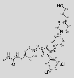 CNC(=O)NCC1CCN(Cc2cc(Oc3cnc(N4CCN(CCCO)CC4)nc3)n(-c3cc(Cl)cc(Cl)c3)c2)CC1